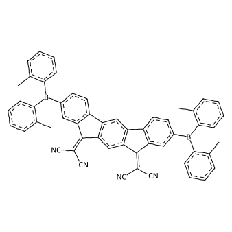 Cc1ccccc1B(c1ccc2c(c1)C(=C(C#N)C#N)c1cc3c(cc1-2)-c1ccc(B(c2ccccc2C)c2ccccc2C)cc1C3=C(C#N)C#N)c1ccccc1C